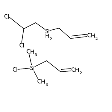 C=CC[SiH2]CC(Cl)Cl.C=CC[Si](C)(C)Cl